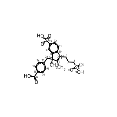 CC1=[N+](CCCS(=O)(=O)O)c2ccc(S(=O)(=O)O)cc2C1(C)Cc1ccc(C(=O)O)cc1